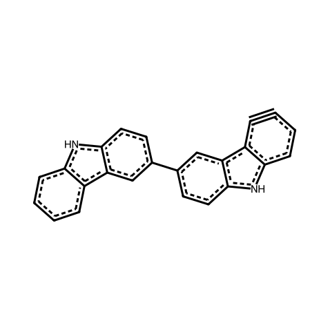 c1ccc2[nH]c3ccc(-c4ccc5[nH]c6ccccc6c5c4)cc3c2c#1